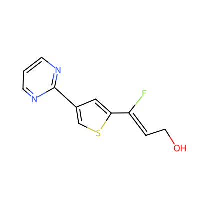 OC/C=C(\F)c1cc(-c2ncccn2)cs1